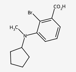 CN(c1cccc(C(=O)O)c1Br)C1CCCC1